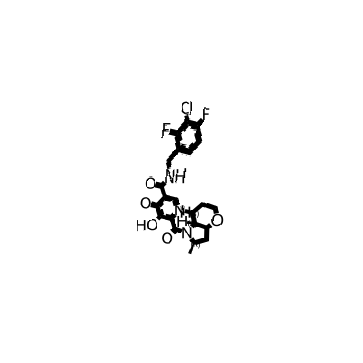 C[C@@H]1CC2OCC[C@H]3[C@H]2N1C(=O)c1c(O)c(=O)c(C(=O)NCc2ccc(F)c(Cl)c2F)cn13